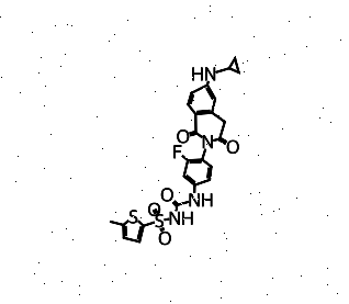 Cc1ccc(S(=O)(=O)NC(=O)Nc2ccc(N3C(=O)Cc4cc(NC5CC5)ccc4C3=O)c(F)c2)s1